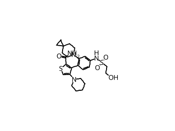 NC(=O)c1scc(N2CCCCC2)c1-c1ccc(NS(=O)(=O)CCO)cc1N1CCC2(CC1)CC2